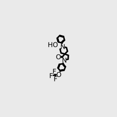 O=C1N(c2ccc(OC(F)(F)F)cc2)CCC12CCN(c1ccccc1O)CC2